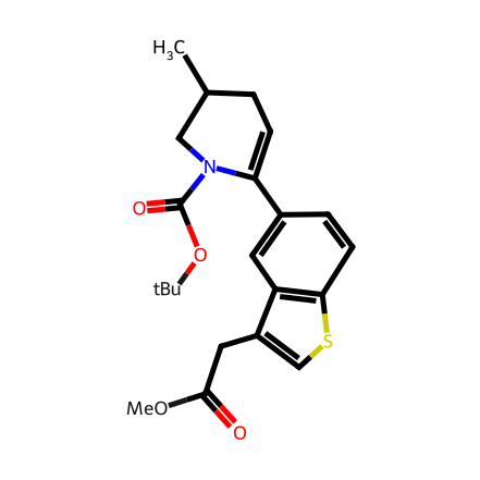 COC(=O)Cc1csc2ccc(C3=CCC(C)CN3C(=O)OC(C)(C)C)cc12